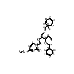 CC(=O)Nc1ccn(COC(COCC2(F)C=CC=CC2)C(CF)OCc2ccccc2)c(=O)n1